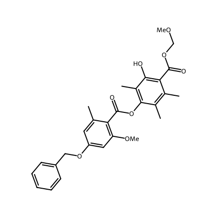 COCOC(=O)c1c(C)c(C)c(OC(=O)c2c(C)cc(OCc3ccccc3)cc2OC)c(C)c1O